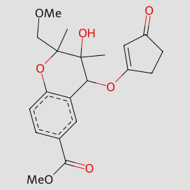 COCC1(C)Oc2ccc(C(=O)OC)cc2C(OC2=CC(=O)CC2)C1(C)O